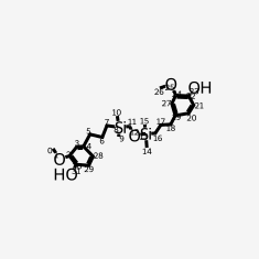 COc1cc(CCC[Si](C)(C)CO[Si](C)(C)CCCc2ccc(O)c(OC)c2)ccc1O